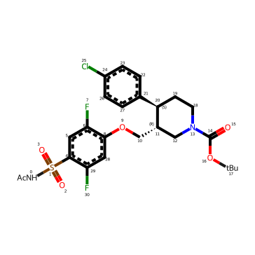 CC(=O)NS(=O)(=O)c1cc(F)c(OC[C@H]2CN(C(=O)OC(C)(C)C)CC[C@@H]2c2ccc(Cl)cc2)cc1F